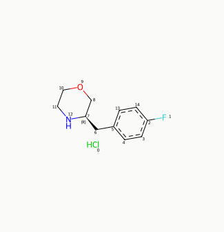 Cl.Fc1ccc(C[C@@H]2COCCN2)cc1